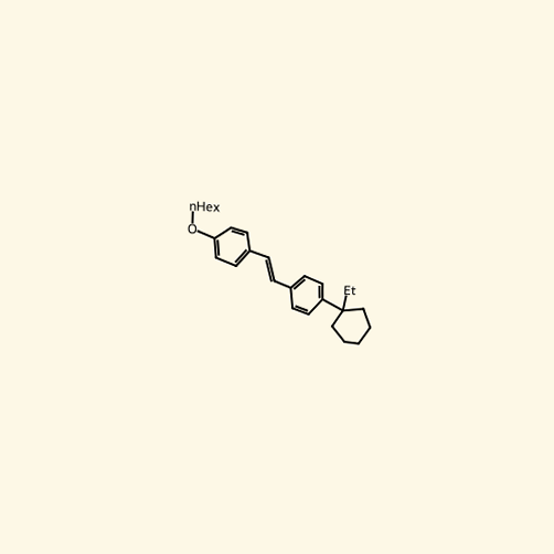 CCCCCCOc1ccc(C=Cc2ccc(C3(CC)CCCCC3)cc2)cc1